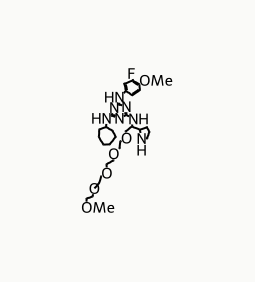 COCCOCCOCCOCCOCC(Nc1nc(Nc2ccc(OC)c(F)c2)nc(NC2CCCCCC2)n1)C1CCCN1